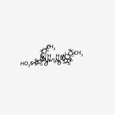 Cc1ccc(Cn2nc(C(=O)NCCCNC(=O)c3nn(Cc4ccc(C)cc4)c4c3Cc3cc(S(=O)(=O)O)sc3-4)c3c2-c2sccc2C3)cc1